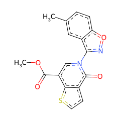 COC(=O)c1cn(-c2noc3ccc(C)cc23)c(=O)c2ccsc12